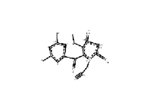 C#CCn1c(C(=O)c2cc(C)cc(C)c2)c(CC)c(=O)[nH]c1=O